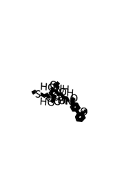 CCSCCCO[C@]1(C(=O)O)CC(O)[C@@H](NC(C)=O)[C@H]([C@H](O)[C@H](O)CNC(=O)c2ccc(-c3ccccc3OC)cc2)O1